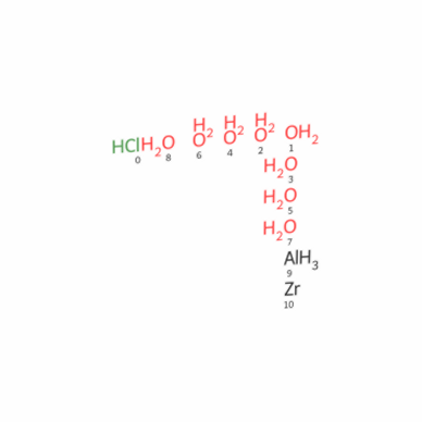 Cl.O.O.O.O.O.O.O.O.[AlH3].[Zr]